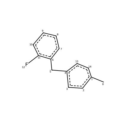 Cc1ccc([CH]c2ccccc2F)cc1